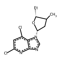 CC[C@H]1O[C@@H](n2cnc3nc(Cl)cc(Cl)c32)CC1C